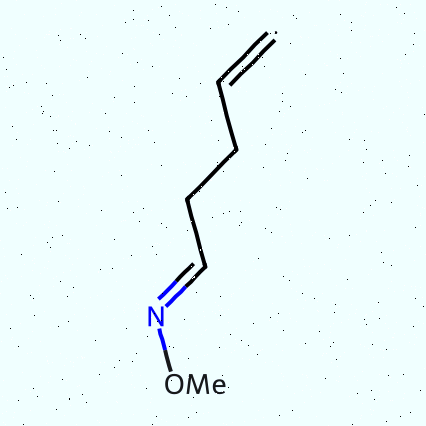 [CH]=CCCC=NOC